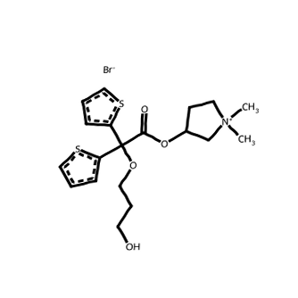 C[N+]1(C)CCC(OC(=O)C(OCCCO)(c2cccs2)c2cccs2)C1.[Br-]